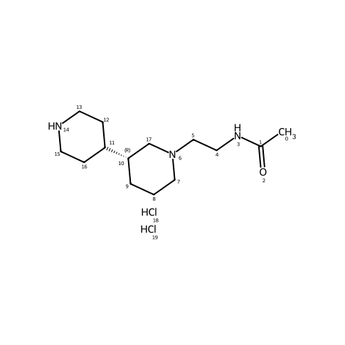 CC(=O)NCCN1CCC[C@H](C2CCNCC2)C1.Cl.Cl